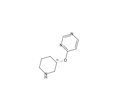 c1cc(O[C@H]2CCCNC2)ncn1